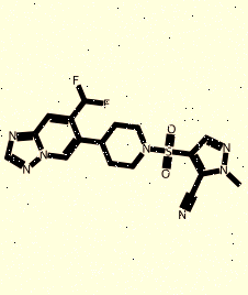 Cn1ncc(S(=O)(=O)N2CCC(c3cn4ncnc4cc3C(F)F)CC2)c1C#N